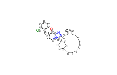 COC1CCCCCCCCCC2CCC(c3nnc4c(Oc5cccc(Cl)c5C)cccn34)(CC2)CC1